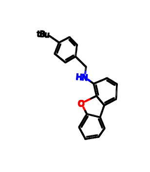 CC(C)(C)c1ccc(CNc2cccc3c2oc2ccccc23)cc1